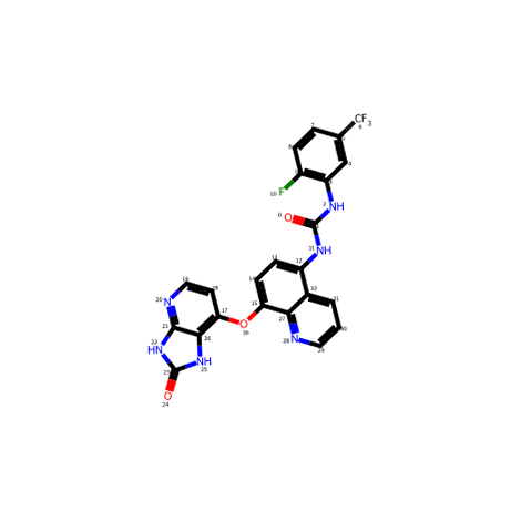 O=C(Nc1cc(C(F)(F)F)ccc1F)Nc1ccc(Oc2ccnc3[nH]c(=O)[nH]c23)c2ncccc12